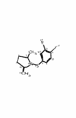 CC1CCC(C)N1Sc1ccc(F)c(F)c1